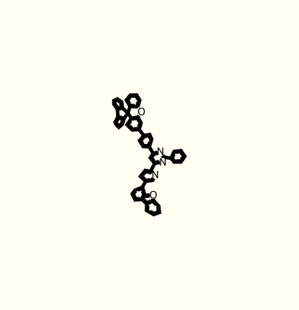 c1ccc(-c2nc(-c3ccc(-c4ccc5c(c4)Oc4ccccc4C54c5ccccc5-c5ccccc54)cc3)cc(-c3ccc(-c4cccc5c4oc4ccccc45)cn3)n2)cc1